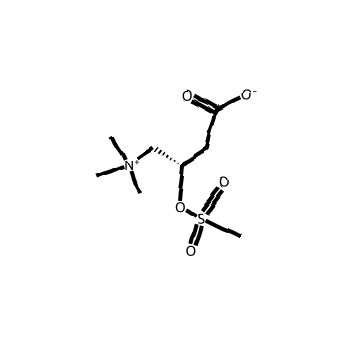 C[N+](C)(C)C[C@H](CC(=O)[O-])OS(C)(=O)=O